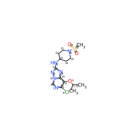 CC(C)Oc1c(Cl)ncn2nc(NC3CCN(S(C)(=O)=O)CC3)nc12